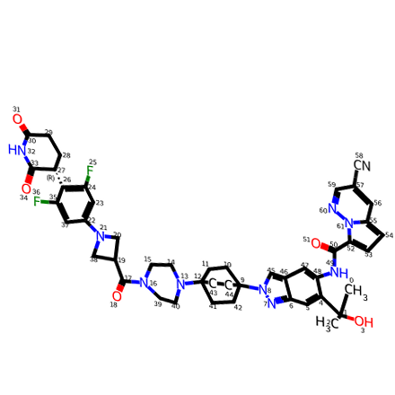 CC(C)(O)c1cc2nn(C34CCC(N5CCN(C(=O)C6CN(c7cc(F)c([C@H]8CCC(=O)NC8=O)c(F)c7)C6)CC5)(CC3)CC4)cc2cc1NC(=O)c1ccc2cc(C#N)cnn12